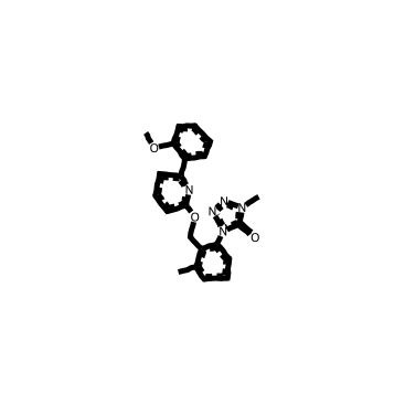 COc1ccccc1-c1cccc(OCc2c(C)cccc2-n2nnn(C)c2=O)n1